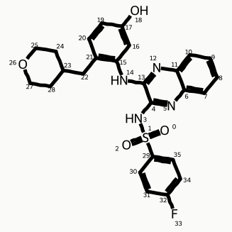 O=S(=O)(Nc1nc2ccccc2nc1Nc1cc(O)ccc1CC1CCOCC1)c1ccc(F)cc1